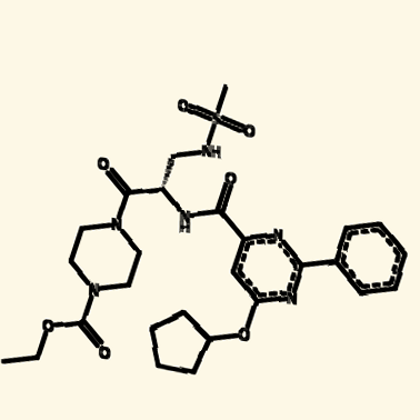 CCOC(=O)N1CCN(C(=O)[C@H](CNS(C)(=O)=O)NC(=O)c2cc(OC3CCCC3)nc(-c3ccccc3)n2)CC1